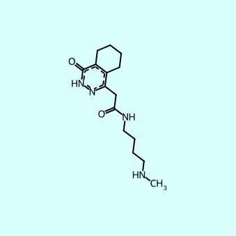 CNCCCCNC(=O)Cc1n[nH]c(=O)c2c1CCCC2